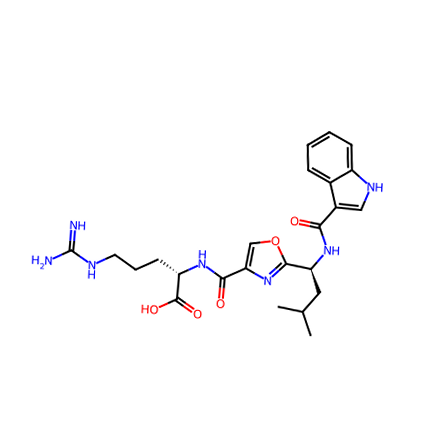 CC(C)C[C@H](NC(=O)c1c[nH]c2ccccc12)c1nc(C(=O)N[C@@H](CCCNC(=N)N)C(=O)O)co1